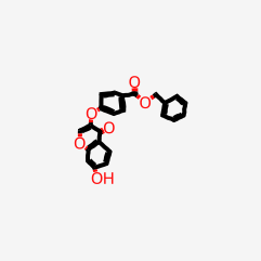 O=C(OCc1ccccc1)c1ccc(Oc2coc3cc(O)ccc3c2=O)cc1